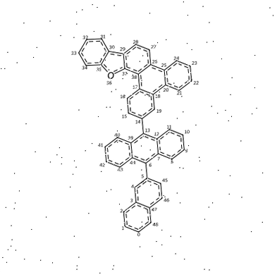 c1ccc2cc(-c3c4ccccc4c(-c4ccc5c(c4)c4ccccc4c4ccc6c7ccccc7oc6c45)c4ccccc34)ccc2c1